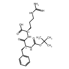 CC(C)(C)OC(=O)N[C@@H](Cc1ccccc1)C(=O)N[C@H](CCCNC(=N)N)C(=O)O